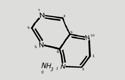 N.c1cnc2ncncc2n1